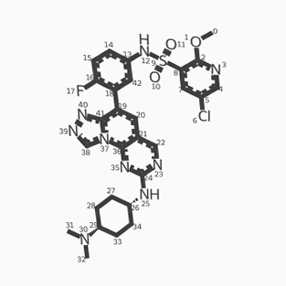 COc1ncc(Cl)cc1S(=O)(=O)Nc1ccc(F)c(-c2cc3cnc(N[C@H]4CC[C@H](N(C)C)CC4)nc3n3cnnc23)c1